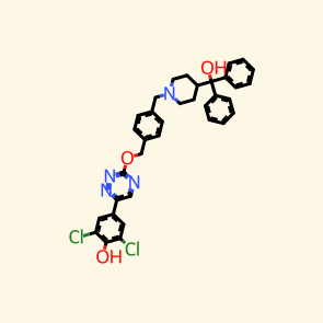 Oc1c(Cl)cc(-c2cnc(OCc3ccc(CN4CCC(C(O)(c5ccccc5)c5ccccc5)CC4)cc3)nn2)cc1Cl